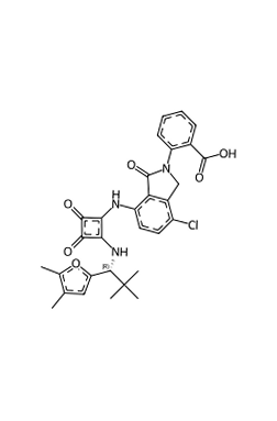 Cc1cc([C@H](Nc2c(Nc3ccc(Cl)c4c3C(=O)N(c3ccccc3C(=O)O)C4)c(=O)c2=O)C(C)(C)C)oc1C